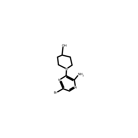 Nc1ncc(Br)nc1N1CCC(O)CC1